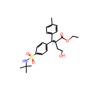 CCOC(=O)/C(CCO)=C(\c1ccc(C)cc1)c1ccc(S(=O)(=O)NC(C)(C)C)cc1